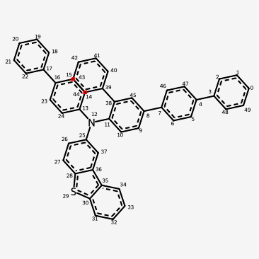 c1ccc(-c2ccc(-c3ccc(N(c4ccc(-c5ccccc5)cc4)c4ccc5sc6ccccc6c5c4)c(-c4ccccc4)c3)cc2)cc1